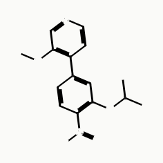 COc1cnccc1-c1ccc([N+](=O)[O-])c(OC(C)C)c1